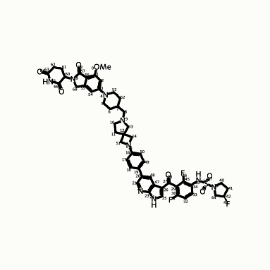 COc1cc(N2CCC(CN3CCC4(C3)CN(c3ccc(-c5cnc6[nH]cc(C(=O)c7c(F)ccc(NS(=O)(=O)N8CC[C@@H](F)C8)c7F)c6c5)cc3)C4)CC2)cc2c1C(=O)N(C1CCC(=O)NC1=O)C2